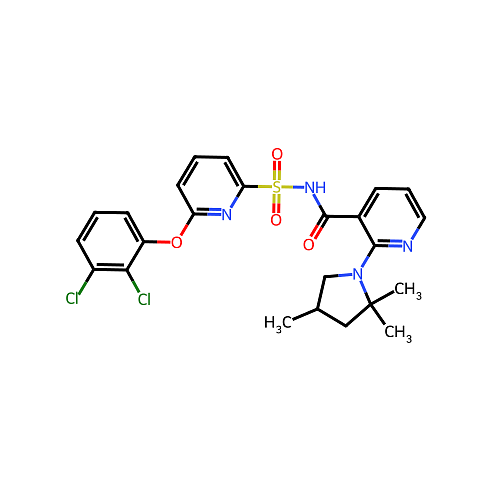 CC1CN(c2ncccc2C(=O)NS(=O)(=O)c2cccc(Oc3cccc(Cl)c3Cl)n2)C(C)(C)C1